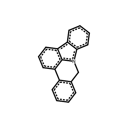 c1ccc2c(c1)Cn1c3ccccc3c3cccc-2c31